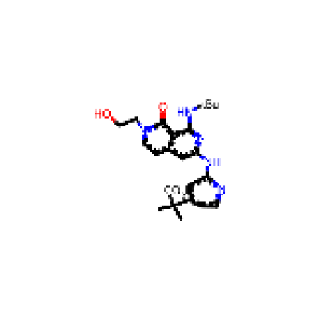 CC(C)(C)Nc1nc(Nc2cc(C(C)(C)C(=O)O)ccn2)cc2ccn(CCO)c(=O)c12